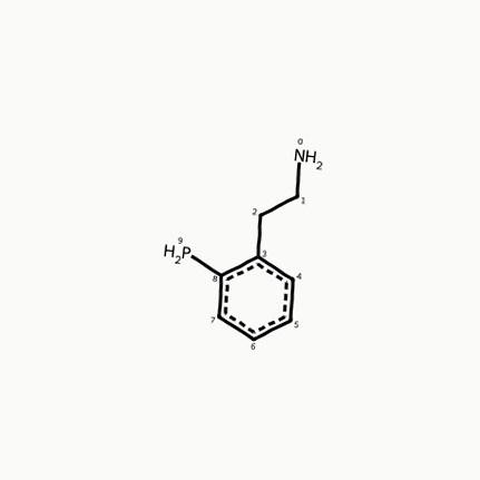 NCCc1ccccc1P